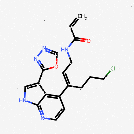 C=CC(=O)NCC=C(CCCCl)c1ccnc2[nH]cc(-c3nnco3)c12